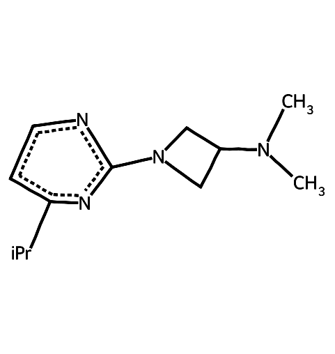 CC(C)c1ccnc(N2CC(N(C)C)C2)n1